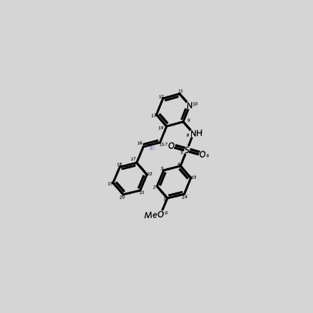 COc1ccc(S(=O)(=O)Nc2ncccc2/C=C/c2ccccc2)cc1